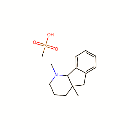 CN1CCCC2(C)Cc3ccccc3C12.CS(=O)(=O)O